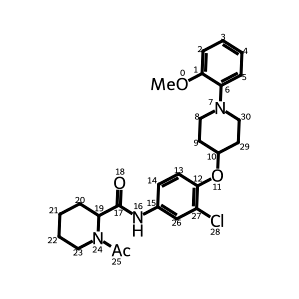 COc1ccccc1N1CCC(Oc2ccc(NC(=O)C3CCCCN3C(C)=O)cc2Cl)CC1